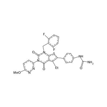 CCc1c(-c2ccc(NC(N)=O)cc2)sc2c1c(=O)n(-c1ccc(OC)nn1)c(=O)n2Cc1c(F)cccc1F